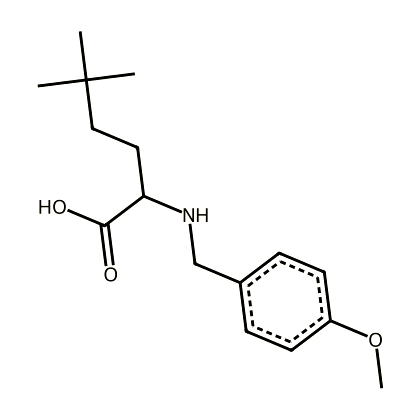 COc1ccc(CNC(CCC(C)(C)C)C(=O)O)cc1